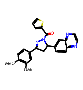 COc1ccc(C2=NN(C(=O)c3cccs3)C(c3ccc4nccnc4c3)C2)cc1OC